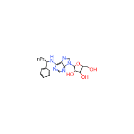 CCC[C@@H](Nc1ncnc2c1ncn2C1OC(CO)C(O)C1O)c1ccccc1